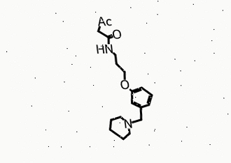 CC(=O)CC(=O)NCCCOc1cccc(CN2CCCCC2)c1